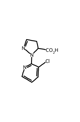 O=C(O)C1CC=NN1c1ncccc1Cl